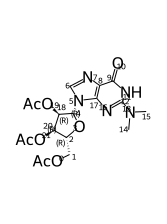 CC(=O)OC[C@H]1O[C@@H](n2cnc3c(=O)[nH]c(N(C)C)nc32)[C@H](OC(C)=O)[C@@H]1OC(C)=O